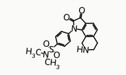 CN(C)S(=O)(=O)c1ccc(N2C(=O)C(=O)c3ccc4c(c32)CNCC4)cc1